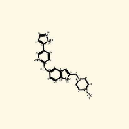 CC(=O)N1CCN(Cc2cc3cc(Oc4ccc(-c5ccn[nH]5)cn4)ccc3[nH]2)CC1